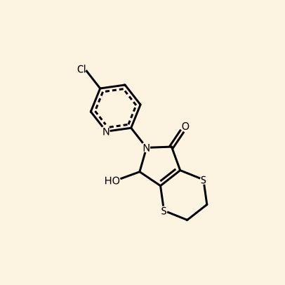 O=C1C2=C(SCCS2)C(O)N1c1ccc(Cl)cn1